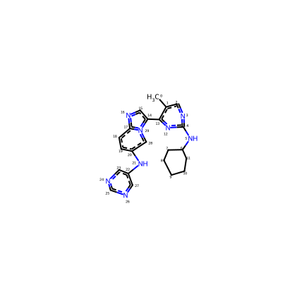 Cc1cnc(NC2CCCCC2)nc1-c1cnc2ccc(Nc3cncnc3)cn12